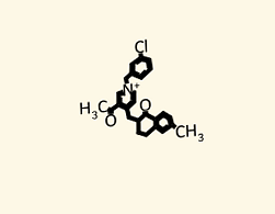 CC(=O)c1c[n+](Cc2cccc(Cl)c2)ccc1CC1CCc2cc(C)ccc2C1=O